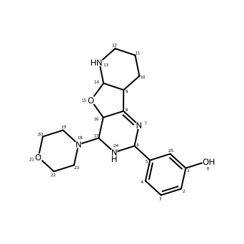 Oc1cccc(C2N=C3C4CCCNC4OC3C(N3CCOCC3)N2)c1